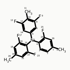 Cc1ccc(N(c2cc(F)c(C)c(F)c2)c2c(F)cc(C)cc2F)c(F)c1